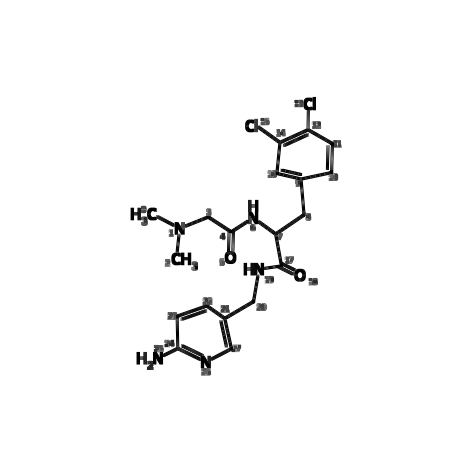 CN(C)CC(=O)NC(Cc1ccc(Cl)c(Cl)c1)C(=O)NCc1ccc(N)nc1